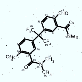 CNC(=O)c1cc(C(c2ccc(C=O)c(C(=O)N(C)C)c2)(C(F)(F)F)C(F)(F)F)ccc1C=O